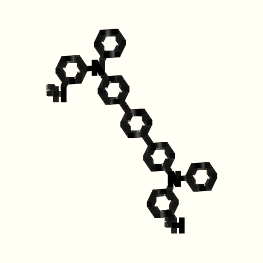 [3H]c1cccc(N(c2ccccc2)c2ccc(-c3ccc(-c4ccc(N(c5ccccc5)c5cccc([3H])c5)cc4)cc3)cc2)c1